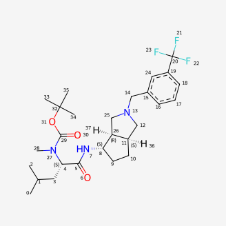 CC(C)C[C@@H](C(=O)N[C@H]1CC[C@@H]2CN(Cc3cccc(C(F)(F)F)c3)C[C@@H]21)N(C)C(=O)OC(C)(C)C